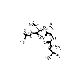 CC(C)C[C@H](N)C(=O)N[C@@H](CO)C(=O)N[C@@H](CO)C(=O)NCC(=O)O